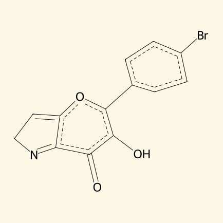 O=c1c(O)c(-c2ccc(Br)cc2)oc2c1=NCC=2